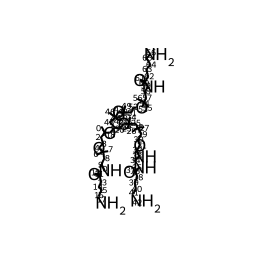 CC(CCOC(C)(C)CCNC(=O)CCCCN)OC(COC(C)(C)CC(C)(C)CCOCNCNC(=O)CCCCN)CC(C)(C)OC(C)(C)CCOC(C)(C)CCNC(=O)CCCCN